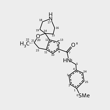 CSc1ccc(CNC(=O)c2cc3c(s2)C2(CCNCC2)O[C@@H](C)C3)cc1